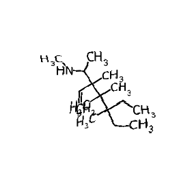 C=CC(C)(C(C)NC)C(C)(C)C(C)(CC)CC